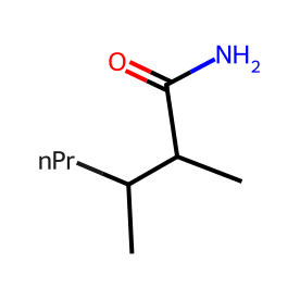 CCCC(C)C(C)C(N)=O